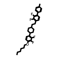 CCCCCCOc1ccc(C2CCC(CCc3ccc(-c4ccc(C)cc4)c(F)c3F)CC2)c(F)c1F